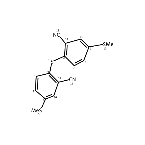 CSc1ccc(Sc2ccc(SC)cc2C#N)c(C#N)c1